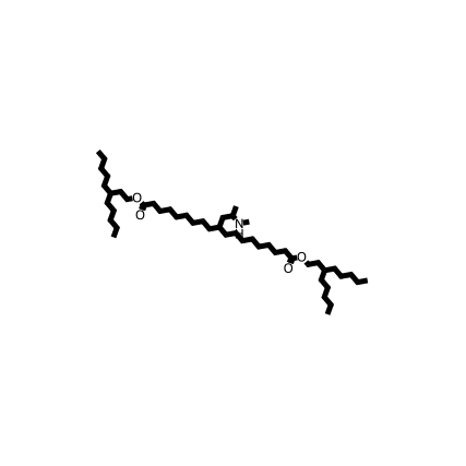 CCCCCC(CCCCC)CCOC(=O)CCCCCCCCC(CCCCCCCCC(=O)OCCC(CCCCC)CCCCC)CC(C)NC